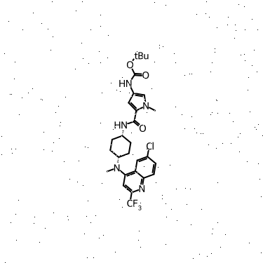 Cn1cc(NC(=O)OC(C)(C)C)cc1C(=O)N[C@H]1CC[C@@H](N(C)c2cc(C(F)(F)F)nc3ccc(Cl)cc23)CC1